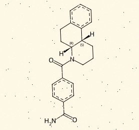 NC(=O)c1ccc(C(=O)N2CCC[C@H]3c4ccccc4CC[C@H]32)cc1